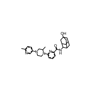 Cc1ccc(N2CCN(c3cccc(C(=O)NC4C5CC6CC4CC(O)(C6)C5)n3)C(C)C2)cn1